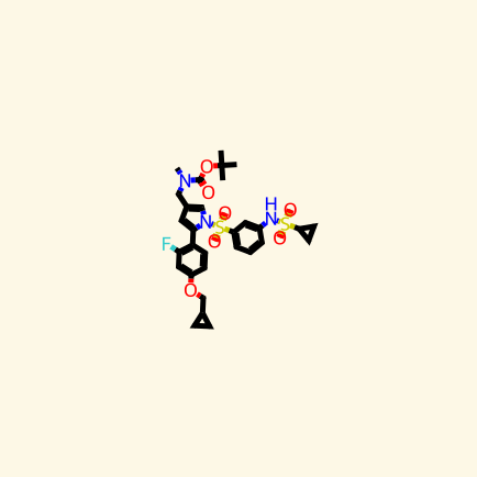 CN(Cc1cc(-c2ccc(OCC3CC3)cc2F)n(S(=O)(=O)c2cccc(NS(=O)(=O)C3CC3)c2)c1)C(=O)OC(C)(C)C